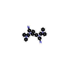 N#Cc1ccc(N(c2ccc(-c3ccc(N(c4ccc(C#N)cc4)c4ccc5c(c4)c4ccccc4n5-c4ccccc4)c4ccccc34)cc2)c2ccc3c(c2)c2ccccc2n3-c2ccccc2)cc1